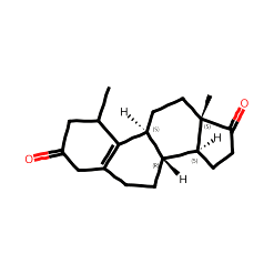 CC1CC(=O)CC2=C1[C@H]1CC[C@]3(C)C(=O)CC[C@H]3[C@@H]1CC2